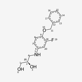 OC[C@H](O)CNc1ccc(OCc2ccccc2)c(F)c1